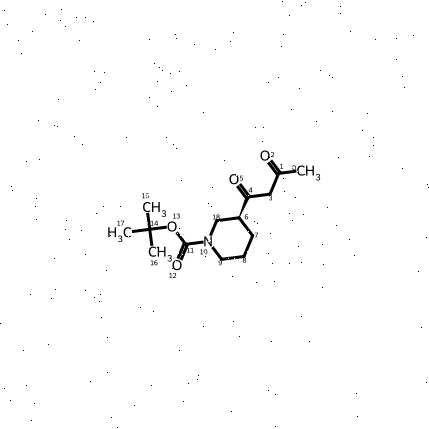 CC(=O)CC(=O)[C@H]1CCCN(C(=O)OC(C)(C)C)C1